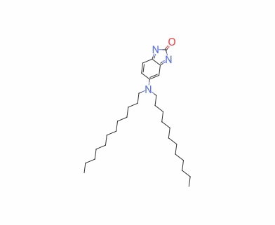 CCCCCCCCCCCCN(CCCCCCCCCCCC)c1ccc2c(c1)=NC(=O)N=2